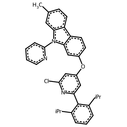 Cc1ccc2c3ccc(Oc4cc(Cl)nc(-c5c(C(C)C)cccc5C(C)C)c4)cc3n(-c3ccccn3)c2c1